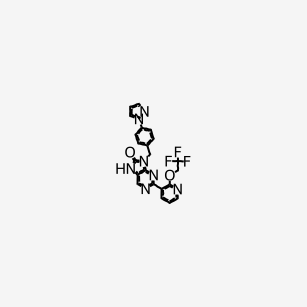 O=c1[nH]c2cnc(-c3cccnc3OCC(F)(F)F)nc2n1Cc1ccc(-n2cccn2)cc1